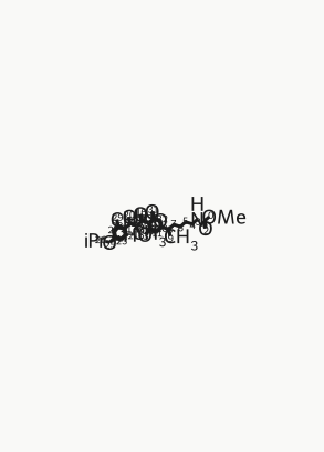 COC(=O)NCCCCC(C)c1cc(O)c(C(=O)C(C)C(C)c2ccc(OC(C)C)cc2C)c(=O)o1